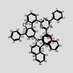 c1ccc(-c2nc(-c3ccccc3)nc(-c3cccc4oc5c(-c6ccccc6)cc(-n6c7ccc8ccccc8c7c7c8ccccc8ccc76)cc5c34)n2)cc1